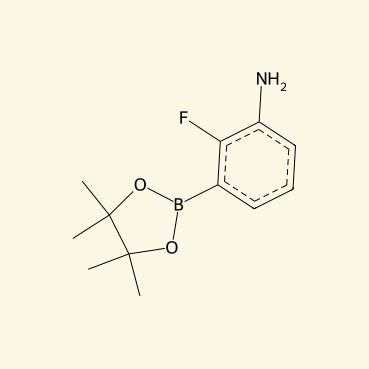 CC1(C)OB(c2cccc(N)c2F)OC1(C)C